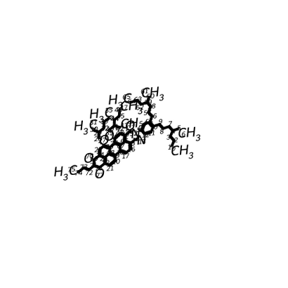 CCCCC(CC)CCCc1cc2nc3c4ccc5c6ccc7c8c(cc(OCC(CC)CCCC)c(c9c(OCC(CC)CCCC)cc(c(=O)n3c2cc1CCCC(CC)CCCC)c4c59)c86)C(=O)C(CCCC)C7=O